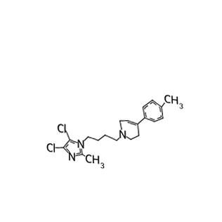 Cc1ccc(C2=CCN(CCCCn3c(C)nc(Cl)c3Cl)CC2)cc1